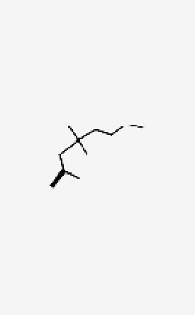 C=C(C)CC(C)(C)CCSC